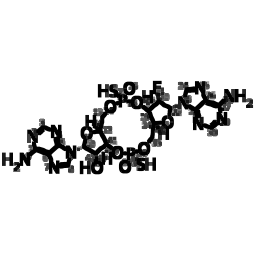 Nc1ncnc2c1ncn2[C@@H]1O[C@@H]2COP(=O)(S)O[C@H]3[C@@H](F)[C@H](n4cnc5c(N)ncnc54)O[C@@H]3CO[P@@](=O)(S)O[C@H]2[C@H]1O